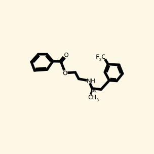 C[C@H](Cc1cccc(C(F)(F)F)c1)NCCOC(=O)c1ccccc1